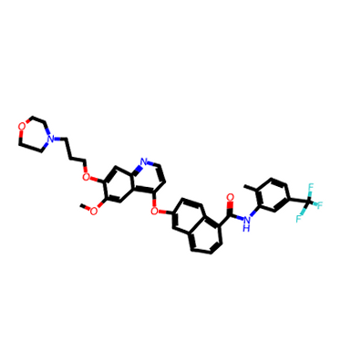 COc1cc2c(Oc3ccc4c(C(=O)Nc5cc(C(F)(F)F)ccc5C)cccc4c3)ccnc2cc1OCCCN1CCOCC1